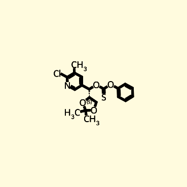 Cc1cc(C(OC(=S)Oc2ccccc2)[C@@H]2COC(C)(C)O2)cnc1Cl